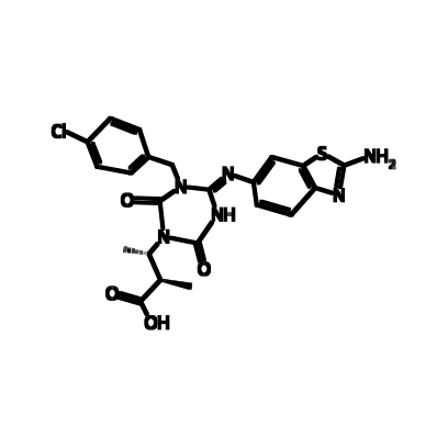 C[C@@H](C(=O)O)[C@H](C)n1c(=O)[nH]/c(=N\c2ccc3nc(N)sc3c2)n(Cc2ccc(Cl)cc2)c1=O